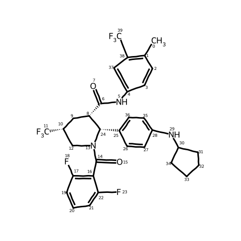 Cc1ccc(NC(=O)[C@H]2C[C@@H](C(F)(F)F)CN(C(=O)c3c(F)cccc3F)[C@H]2c2ccc(NC3CCCC3)cc2)cc1C(F)(F)F